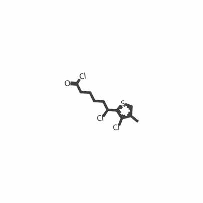 Cc1csc(C(Cl)CCCCC(=O)Cl)c1Cl